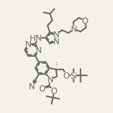 CC(C)CCc1c(Nc2nccc(-c3cc(C#N)c4c(c3)[C@@](C)(CO[Si](C)(C)C(C)(C)C)CN4C(=O)OC(C)(C)C)n2)cnn1CCN1CCOCC1